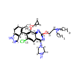 Cc1ccc2[nH]ncc2c1-c1c(Cl)cc2c(N3CCNCC3)nc(OCCN(C)C)nc2c1OC1CC1